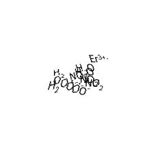 O.O.O.O.O=[N+]([O-])[O-].O=[N+]([O-])[O-].O=[N+]([O-])[O-].[Er+3]